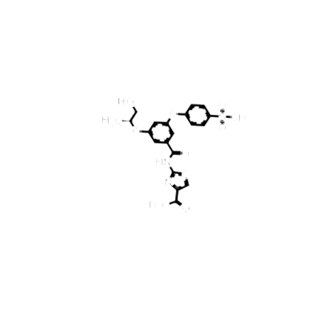 CC(=O)c1csc(NC(=O)c2cc(Oc3ccc(S(C)(=O)=O)cc3)cc(O[C@@H](C)CO)c2)n1